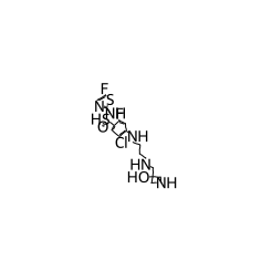 C[SH](=O)(Nc1ncc(F)s1)c1cc(Cl)c(NCCCCNCC2(O)CNC2)cc1F